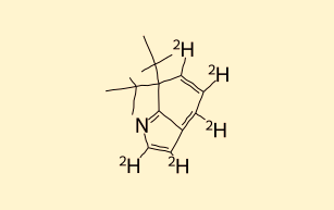 [2H]C1=C([2H])C2=C([2H])C([2H])=C([2H])C(C(C)(C)C)(C(C)(C)C)C2=N1